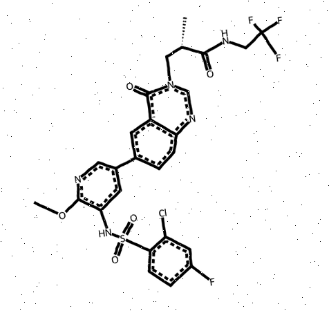 COc1ncc(-c2ccc3ncn(C[C@H](C)C(=O)NCC(F)(F)F)c(=O)c3c2)cc1NS(=O)(=O)c1ccc(F)cc1Cl